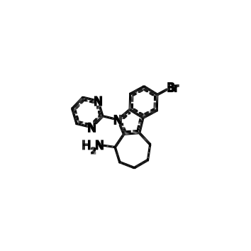 NC1CCCCc2c1n(-c1ncccn1)c1ccc(Br)cc21